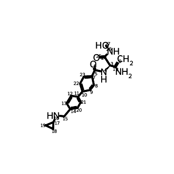 C=C(N)[C@@H](NC(=O)c1ccc(-c2ccc(CNC3CC3)cc2)cc1)C(=O)NO